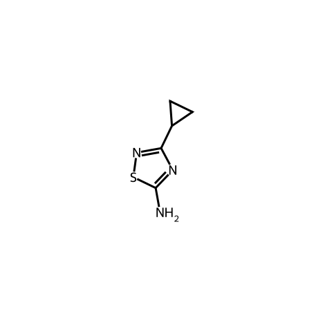 Nc1nc(C2CC2)ns1